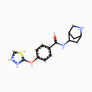 O=C(NC1CC2CC1CN2)c1ccc(Oc2nncs2)cc1